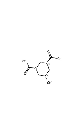 O=C(O)[C@H]1C[C@H](O)CN(C(=O)O)C1